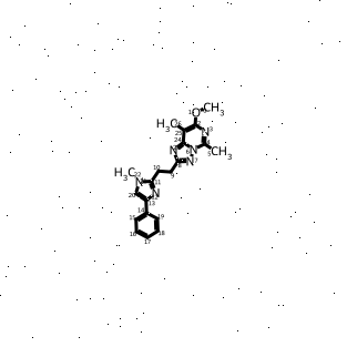 COc1nc(C)n2nc(CCc3nc(-c4ccccc4)cn3C)nc2c1C